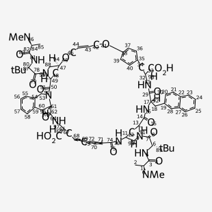 CN[C@@H](C)C(=O)N[C@H](C(=O)N1C[C@@H]2C[C@H]1C(=O)N[C@@H](Cc1ccc3ccccc3c1)C(=O)N[C@H](C(=O)O)Cc1ccc(cc1)OC/C=C/CO[C@H]1C[C@@H](C(=O)N3Cc4ccccc4C[C@H]3C(=O)N[C@H](C(=O)O)Cc3ccc(cc3)C(=O)N2)N(C(=O)[C@@H](NC(=O)[C@H](C)NC)C(C)(C)C)C1)C(C)(C)C